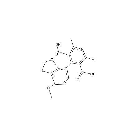 COc1ccc(-c2c(C(=O)O)c(C)nc(C)c2C(=O)O)c2c1OCO2